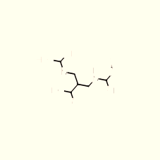 CSC(C)NCC(CNC(C)C)C(C)C